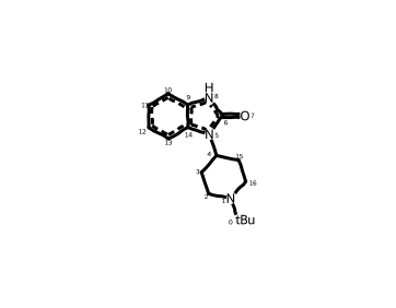 CC(C)(C)N1CCC(n2c(=O)[nH]c3ccccc32)CC1